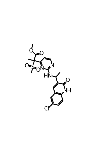 COC(=O)C(C)(c1ccnc(NC(C)c2cc3cc(Cl)ccc3[nH]c2=O)n1)S(C)(=O)=O